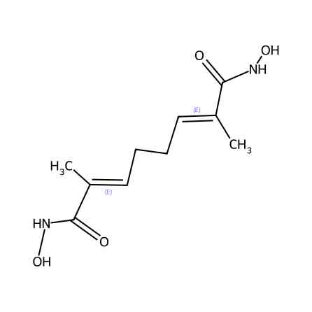 C/C(=C\CC/C=C(\C)C(=O)NO)C(=O)NO